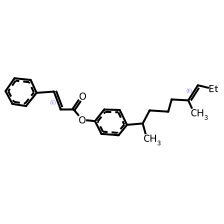 CC/C=C(\C)CCCC(C)c1ccc(OC(=O)/C=C/c2ccccc2)cc1